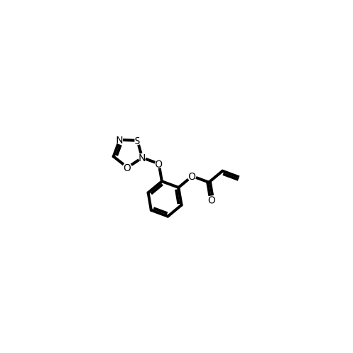 C=CC(=O)Oc1ccccc1ON1OC=NS1